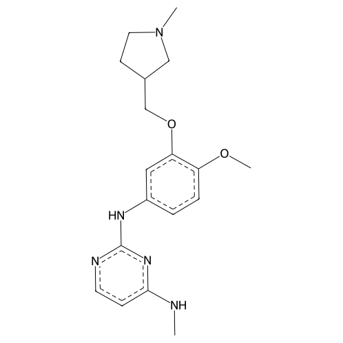 CNc1ccnc(Nc2ccc(OC)c(OCC3CCN(C)C3)c2)n1